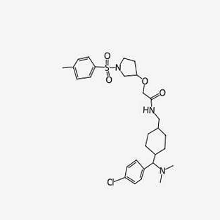 Cc1ccc(S(=O)(=O)N2CCC(OCC(=O)NCC3CCC(C(c4ccc(Cl)cc4)N(C)C)CC3)C2)cc1